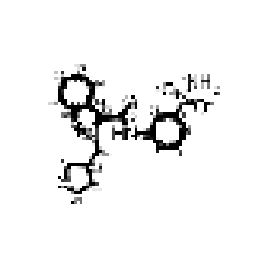 NS(=O)(=O)c1cccc(NC(=O)c2c3ccccc3nn2CC2CCOC2)c1